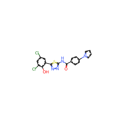 O=C(Nc1nnc(-c2cc(Cl)cc(Cl)c2O)s1)c1ccc(-n2cccc2)cc1